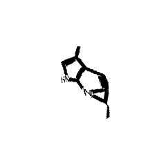 Cc1c[nH]c2c1cc1n2[C@@H]1C